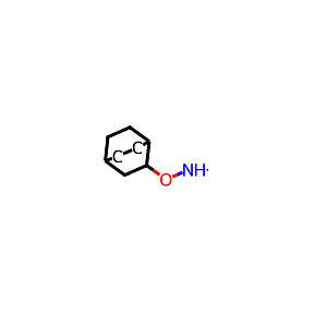 [NH]OC1CC2CCC1CC2